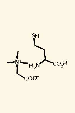 C[N+](C)(C)CC(=O)[O-].NC(CCS)C(=O)O